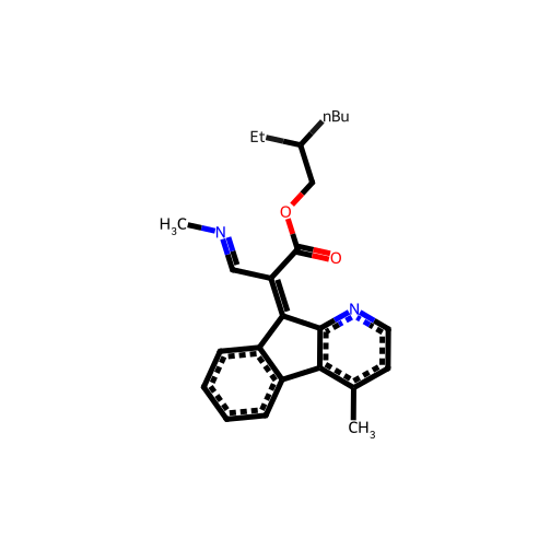 CCCCC(CC)COC(=O)C(/C=N/C)=C1/c2ccccc2-c2c(C)ccnc21